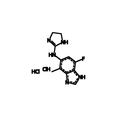 Cc1c(NC2=NCCN2)cc(F)c2[nH]cnc12.Cl.Cl